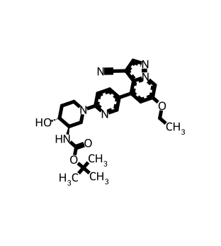 CCOc1cc(-c2ccc(N3CC[C@@H](O)[C@H](NC(=O)OC(C)(C)C)C3)nc2)c2c(C#N)cnn2c1